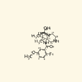 COc1ccc(F)c(C(=O)NC2(C(C)(C)C)CNCCN2C(=O)O)c1